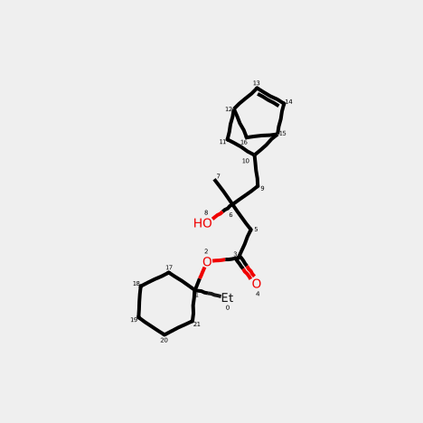 CCC1(OC(=O)CC(C)(O)CC2CC3C=CC2C3)CCCCC1